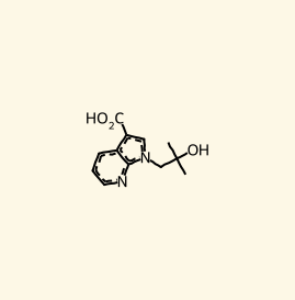 CC(C)(O)Cn1cc(C(=O)O)c2cccnc21